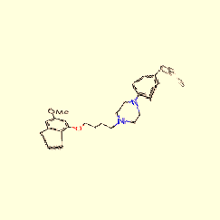 COc1cc2c(c(OCCCCN3CCN(c4ccc(C(F)(F)F)cc4)CC3)c1)CCC2